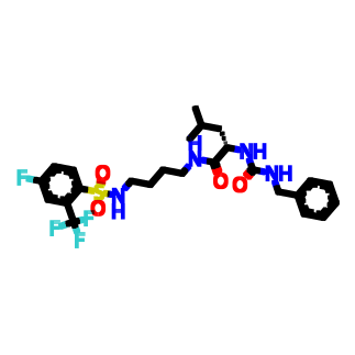 CC(C)C[C@H](NC(=O)NCc1ccccc1)C(=O)NCCCCNS(=O)(=O)c1ccc(F)cc1C(F)(F)F